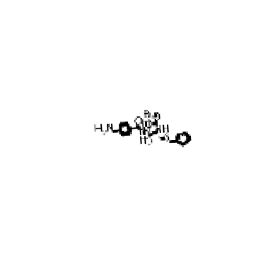 CC(C)(C)OC(=O)N[C@H](CSCc1ccccc1)C(=O)NNC(=O)c1ccc(CN)cc1